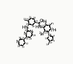 [2H]c1c(C)c([2H])c(-n2ccc(C)c2)c([2H])c1NC(=O)c1ccc(C)c(Nc2nccc(-c3cccnc3)n2)c1